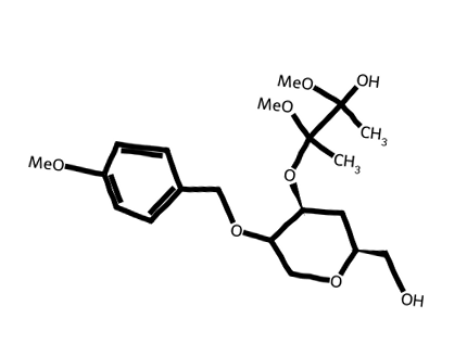 COc1ccc(COC2CO[C@H](CO)C[C@@H]2OC(C)(OC)C(C)(O)OC)cc1